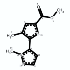 COC(=O)c1cc(C)c(-c2ccnn2C)s1